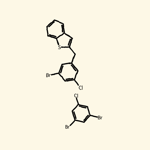 Clc1cc(Br)cc(Br)c1.Clc1cc(Br)cc(Cc2cc3ccccc3s2)c1